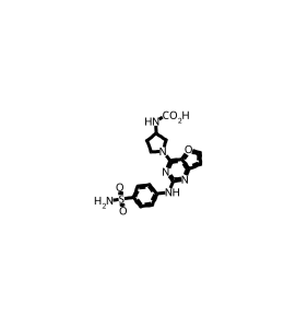 NS(=O)(=O)c1ccc(Nc2nc(N3CCC(NC(=O)O)C3)c3occc3n2)cc1